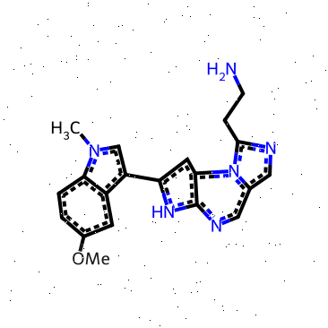 COc1ccc2c(c1)c(-c1cc3c(ncc4cnc(CCN)n43)[nH]1)cn2C